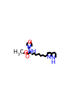 CCOC(=O)[C@H](CCCCCCCc1ccc2c(n1)NCCC2)NCN1CCOCC1